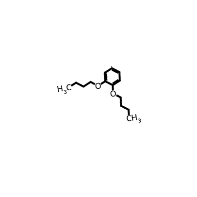 CCCCOc1c[c]ccc1OCCCC